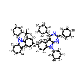 CC1(C)c2ccccc2-n2c3ccccc3c3cc(-c4ccc5c(c4)c4c(-c6ccccc6)nc(-c6ccccc6)nc4n5-c4ccccc4)cc1c32